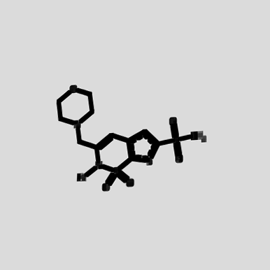 CCN1C(CN2CCOCC2)=Cc2cc(S(N)(=O)=O)sc2S1(=O)=O